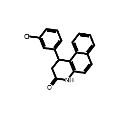 O=C1CC(c2cccc(Cl)c2)c2c(ccc3ccccc23)N1